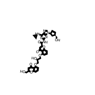 O=C(Nc1nc(NC2CC2)c2ncn(C3C=C[C@@H](CO)C3)c2n1)c1cc(=O)c2c(OCC(O)COc3cccc4oc(CO)cc(=O)c34)cccc2o1